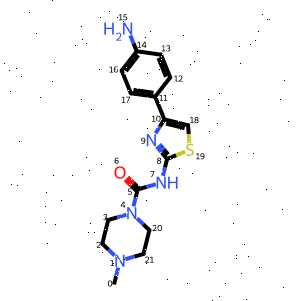 CN1CCN(C(=O)Nc2nc(-c3ccc(N)cc3)cs2)CC1